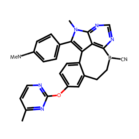 CNc1ccc(-c2c3c4c(ncnc4n2C)B(C#N)CCc2cc(Oc4nccc(C)n4)ccc2-3)cc1